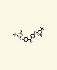 C[SiH](C)OC(CCC(C)(C)C)Oc1ccc(C(=O)c2ccc(OC(CCC(C)(C)C)O[SiH](C)C)cc2)cc1